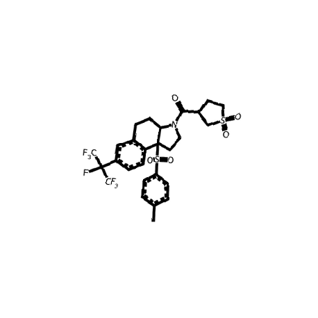 Cc1ccc(S(=O)(=O)C23CCN(C(=O)C4CCS(=O)(=O)C4)C2CCc2cc(C(F)(C(F)(F)F)C(F)(F)F)ccc23)cc1